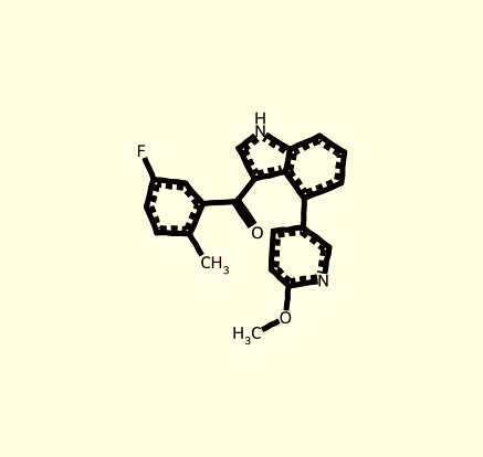 COc1ccc(-c2cccc3[nH]cc(C(=O)c4cc(F)ccc4C)c23)cn1